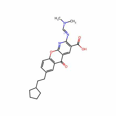 CN(C)/C=N/c1nc2oc3ccc(CCC4CCCC4)cc3c(=O)c2cc1C(=O)O